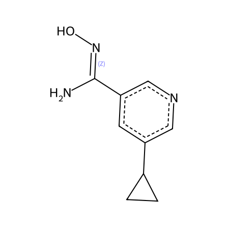 N/C(=N\O)c1cncc(C2CC2)c1